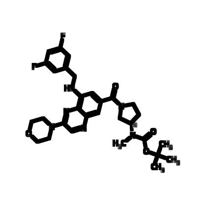 CN(C(=O)OC(C)(C)C)[C@H]1CCN(C(=O)c2cc(NCc3cc(F)cc(F)c3)c3nc(N4CCOCC4)cnc3c2)C1